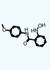 COc1ccc(NC(=O)c2ccccc2NO)cc1